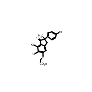 CC1(c2ccc(O)cc2)Cc2cc(OCC(=O)O)c(Cl)c(Cl)c2C1=O